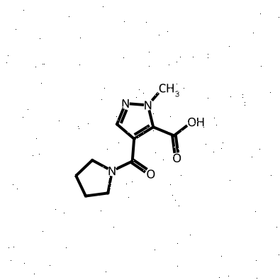 Cn1ncc(C(=O)N2CCCC2)c1C(=O)O